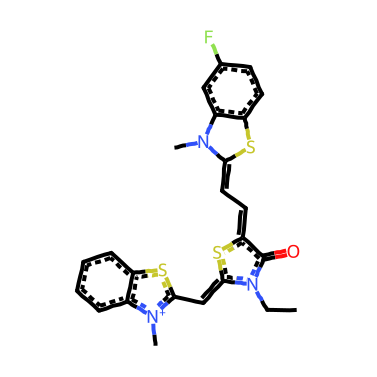 CCn1c(=O)/c(=C/C=C2\Sc3ccc(F)cc3N2C)s/c1=C\c1sc2ccccc2[n+]1C